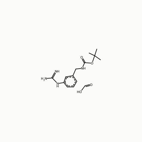 CC(C)(C)OC(=O)NCc1cccc(NC(=N)N)c1.O=CO